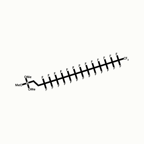 CO[Si](CCC(F)(F)C(F)(F)C(F)(F)C(F)(F)C(F)(F)C(F)(F)C(F)(F)C(F)(F)C(F)(F)C(F)(F)C(F)(F)C(F)(F)C(F)(F)C(F)(F)F)(OC)OC